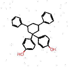 Oc1ccc(C2(c3ccc(O)cc3)CC(c3ccccc3)CC(c3ccccc3)C2)cc1